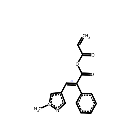 C=CC(=O)OC(=O)/C(=C/c1cnn(C)c1)c1ccccc1